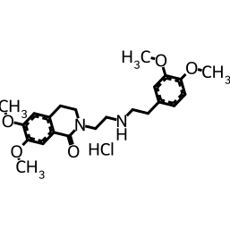 COc1ccc(CCNCCN2CCc3cc(OC)c(OC)cc3C2=O)cc1OC.Cl